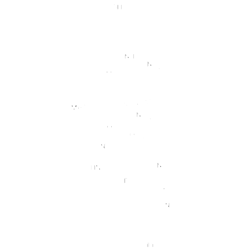 COC(C)COc1nc2[nH]cc(F)c2cc1Oc1cc(N2CCC3(CC2)CN(C2CCC[C@@H]2c2ccccc2C(C)C)C3)ccc1C(=O)NS(=O)(=O)c1cc2c(c([N+](=O)[O-])c1)N[C@@H]([C@H]1CC[C@](C)(O)CC1)CO2